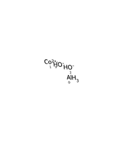 [AlH3].[Co+2].[OH-].[OH-]